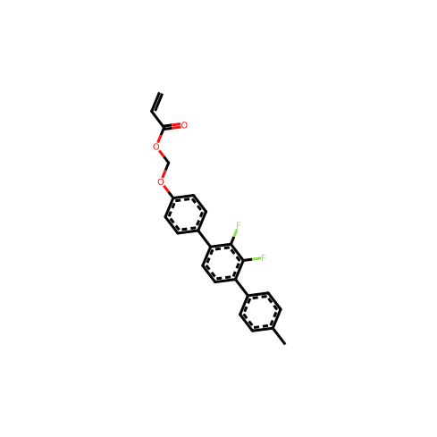 C=CC(=O)OCOc1ccc(-c2ccc(-c3ccc(C)cc3)c(F)c2F)cc1